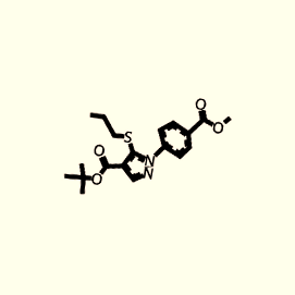 CCCSc1c(C(=O)OC(C)(C)C)cnn1-c1ccc(C(=O)OC)cc1